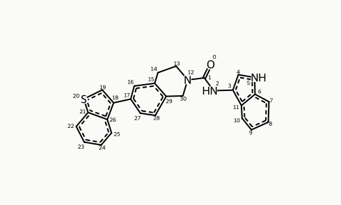 O=C(Nc1c[nH]c2ccccc12)N1CCc2cc(-c3csc4ccccc34)ccc2C1